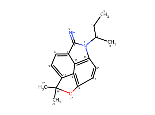 CCC(C)N1C(=N)c2ccc3c4c(ccc1c24)OC3(C)C